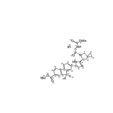 COC(=O)N[C@H](C(=O)N1CC2(CC2)C[C@H]1c1ncc(-c2ccc3c(c2)C(F)(F)c2cc(C(=O)OC(C)(C)C)ccc2-3)[nH]1)C(C)C